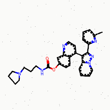 Cc1cccc(-c2nn3ccccc3c2-c2ccnc3cc(OC(=O)NCCCN4CCCC4)ccc23)n1